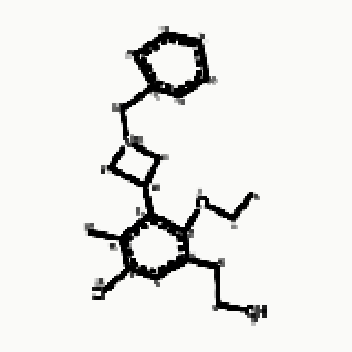 CCOc1c(CCO)cc(Cl)c(C)c1C1CN(Cc2ccccc2)C1